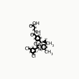 CC1CC(C)CC2(C1)N=C(c1cc(Cl)cc(Cl)c1)C(=O)N2[C@@H](c1ccc(C(=O)NCCC(=O)O)cc1)C1CC1